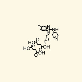 CCOCCn1c(NC2CCN(C)CC2)nc2cc(C)ccc21.O=C(O)C=CC(=O)O.O=C(O)C=CC(=O)O